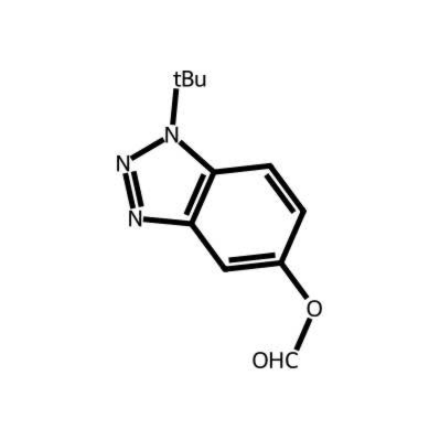 CC(C)(C)n1nnc2cc(OC=O)ccc21